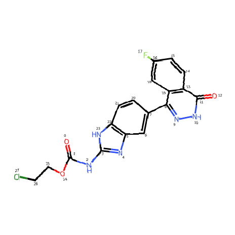 O=C(Nc1nc2cc(-c3n[nH]c(=O)c4ccc(F)cc34)ccc2[nH]1)OCCCl